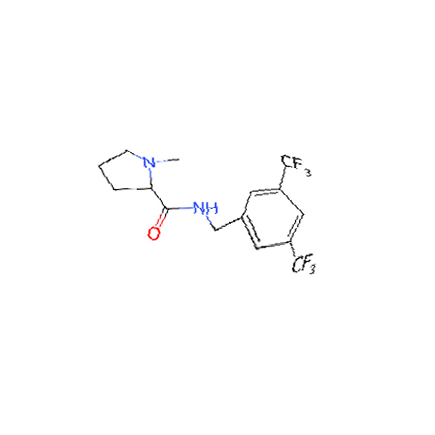 CN1CCCC1C(=O)NCc1cc(C(F)(F)F)cc(C(F)(F)F)c1